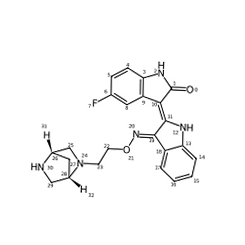 O=C1Nc2ccc(F)cc2/C1=C1/Nc2ccccc2/C1=N\OCCN1C[C@@H]2C[C@H]1CN2